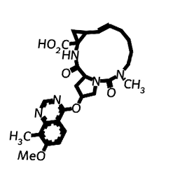 COc1ccc2c(OC3CC4C(=O)NC5(C(=O)O)CC5/C=C/CCCCN(C)C(=O)N4C3)ncnc2c1C